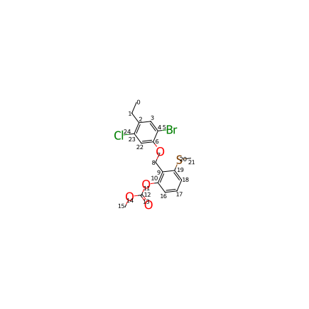 CCc1cc(Br)c(OCc2c(OC(=O)OC)cccc2SC)cc1Cl